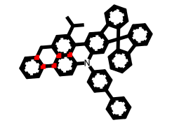 CC(C)c1cc2c(cc1-c1cc3c(cc1N(c1ccc(-c4ccccc4)cc1)c1ccc(-c4ccccc4)cc1)C1(c4ccccc4-c4ccccc41)c1ccccc1-3)CCCC2